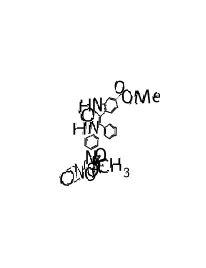 COC(=O)c1ccc2c(c1)NC(=O)/C2=C(\Nc1ccc(N(CC(=O)N2CCOCC2)S(C)(=O)=O)cc1)c1ccccc1